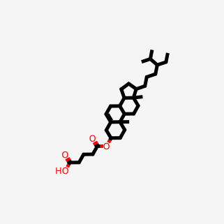 CCC(CCCC1CCC2C3CC=C4CC(OC(=O)CCCC(=O)O)CCC4(C)C3CCC12C)C(C)C